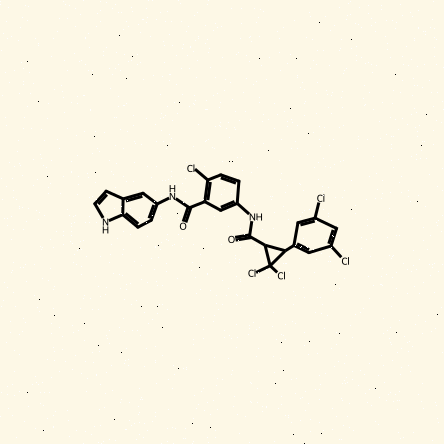 O=C(Nc1ccc2[nH]ccc2c1)c1cc(NC(=O)C2C(c3cc(Cl)cc(Cl)c3)C2(Cl)Cl)ccc1Cl